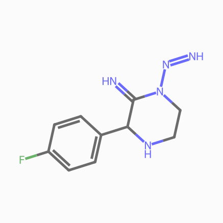 N=NN1CCNC(c2ccc(F)cc2)C1=N